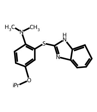 CC(C)Oc1ccc(N(C)C)c(Sc2nc3ccccc3[nH]2)c1